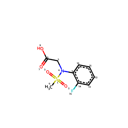 CS(=O)(=O)N(CC(=O)O)c1ccccc1F